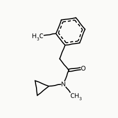 Cc1ccccc1CC(=O)N(C)C1CC1